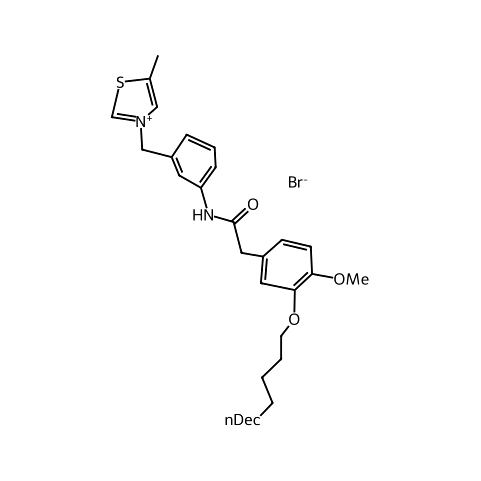 CCCCCCCCCCCCCCOc1cc(CC(=O)Nc2cccc(C[n+]3csc(C)c3)c2)ccc1OC.[Br-]